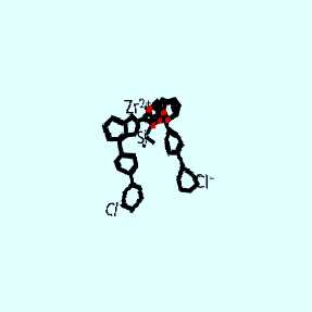 C[Si]1(C)C2=C(c3ccccc3)[CH]([Zr+2][CH]3C(c4ccccc4)=C1c1c(-c4ccc(C5CCCCC5)cc4)cccc13)c1cccc(-c3ccc(C4CCCCC4)cc3)c12.[Cl-].[Cl-]